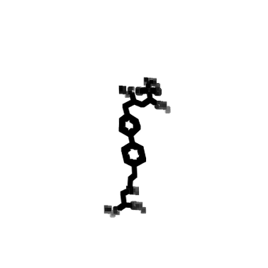 CC(C)CNCCc1ccc(-c2ccc(CC(C)CC(C)S(N)(=O)=O)cc2)cc1